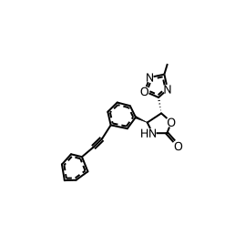 Cc1noc([C@@H]2OC(=O)N[C@H]2c2cccc(C#Cc3ccccc3)c2)n1